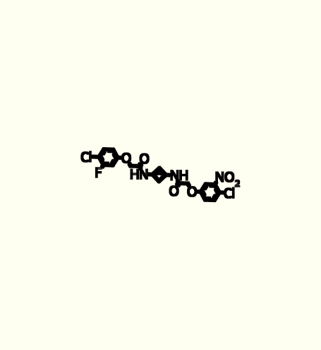 O=C(COc1ccc(Cl)c(F)c1)NC12CC(NC(=O)COc3ccc(Cl)c([N+](=O)[O-])c3)(C1)C2